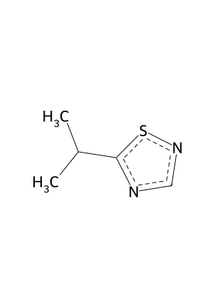 CC(C)c1ncns1